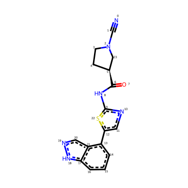 N#CN1CC[C@H](C(=O)Nc2ncc(-c3cccc4[nH]ncc34)s2)C1